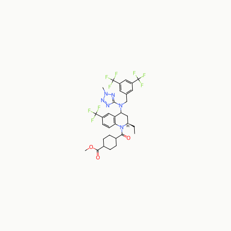 CC[C@@H]1CC(N(Cc2cc(C(F)(F)F)cc(C(F)(F)F)c2)c2nnn(C)n2)c2cc(C(F)(F)F)ccc2N1C(=O)C1CCC(C(=O)OC)CC1